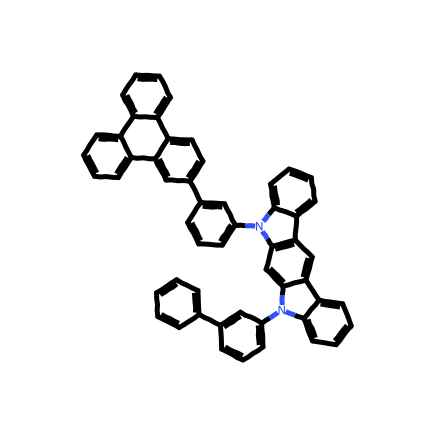 c1ccc(-c2cccc(-n3c4ccccc4c4cc5c6ccccc6n(-c6cccc(-c7ccc8c9ccccc9c9ccccc9c8c7)c6)c5cc43)c2)cc1